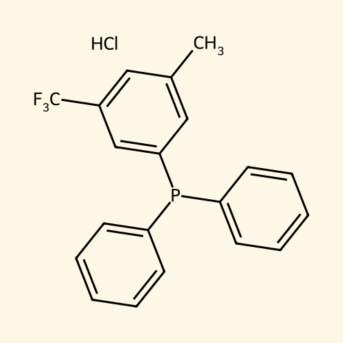 Cc1cc(P(c2ccccc2)c2ccccc2)cc(C(F)(F)F)c1.Cl